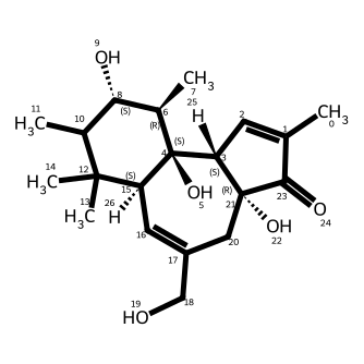 CC1=C[C@H]2[C@@]3(O)[C@H](C)[C@@H](O)C(C)C(C)(C)[C@@H]3C=C(CO)C[C@]2(O)C1=O